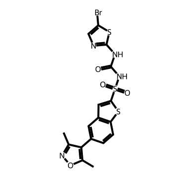 Cc1noc(C)c1-c1ccc2sc(S(=O)(=O)NC(=O)Nc3ncc(Br)s3)cc2c1